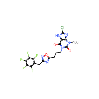 CCCCn1c(=O)n(CCCc2nc(Cc3c(F)c(F)c(F)c(F)c3F)no2)c(=O)c2[nH]c(Cl)nc21